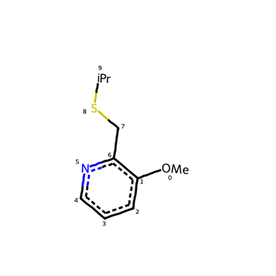 COc1cccnc1CSC(C)C